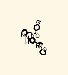 CO[C@H]1CC[C@H](C(=O)N2Cc3cccnc3Nc3ccc(-c4ccn(C5CCCCO5)n4)cc32)CC1